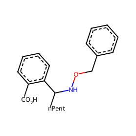 CCCCCC(NOCc1ccccc1)c1ccccc1C(=O)O